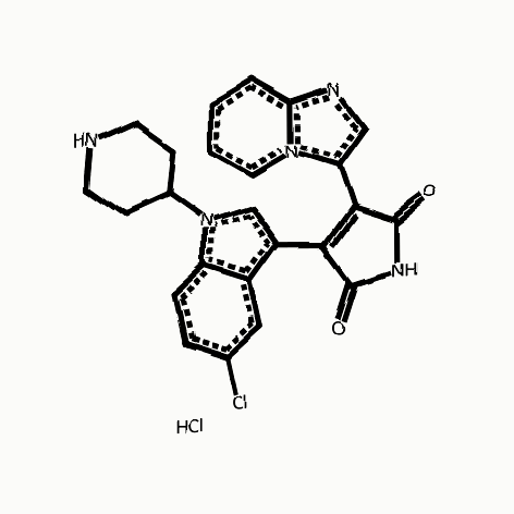 Cl.O=C1NC(=O)C(c2cnc3ccccn23)=C1c1cn(C2CCNCC2)c2ccc(Cl)cc12